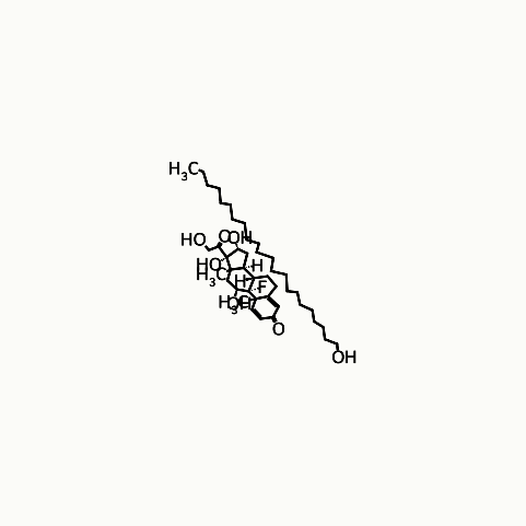 CCCCCCCCCCCCCCCCCCCCCCO.C[C@]12C=CC(=O)C=C1CC[C@H]1[C@@H]3C[C@@H](O)[C@](O)(C(=O)CO)[C@@]3(C)C[C@H](O)[C@@]12F